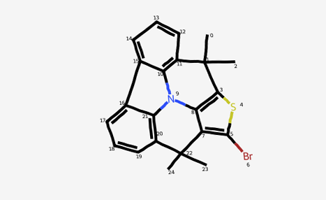 CC1(C)c2sc(Br)c3c2-n2c4c1cccc4c1cccc(c12)C3(C)C